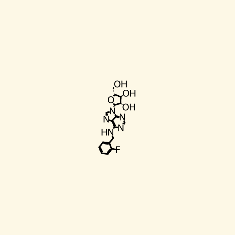 OC[C@H]1O[C@@H](n2cnc3c(NCc4ccccc4F)ncnc32)[C@@H](O)[C@@H]1O